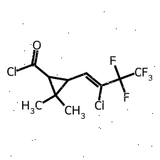 CC1(C)C(C=C(Cl)C(F)(F)C(F)(F)F)C1C(=O)Cl